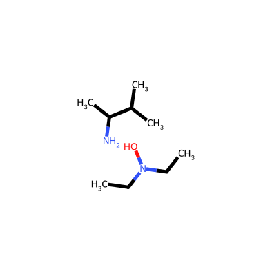 CC(C)C(C)N.CCN(O)CC